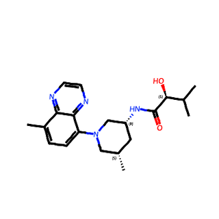 Cc1ccc(N2C[C@@H](C)C[C@@H](NC(=O)[C@@H](O)C(C)C)C2)c2nccnc12